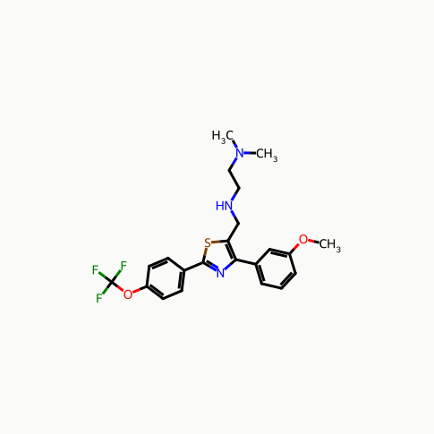 COc1cccc(-c2nc(-c3ccc(OC(F)(F)F)cc3)sc2CNCCN(C)C)c1